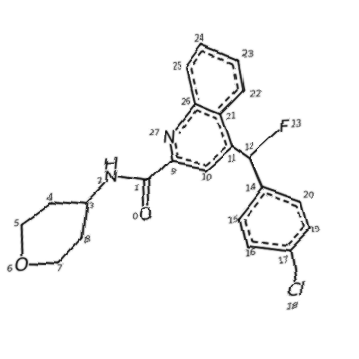 O=C(NC1CCOCC1)c1cc(C(F)c2ccc(Cl)cc2)c2ccccc2n1